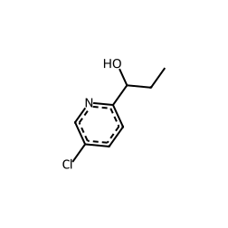 CCC(O)c1ccc(Cl)cn1